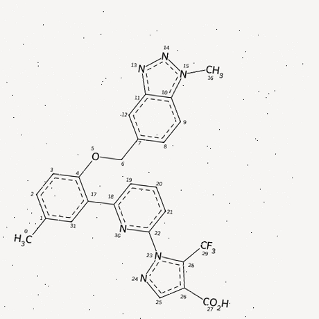 Cc1ccc(OCc2ccc3c(c2)nnn3C)c(-c2cccc(-n3ncc(C(=O)O)c3C(F)(F)F)n2)c1